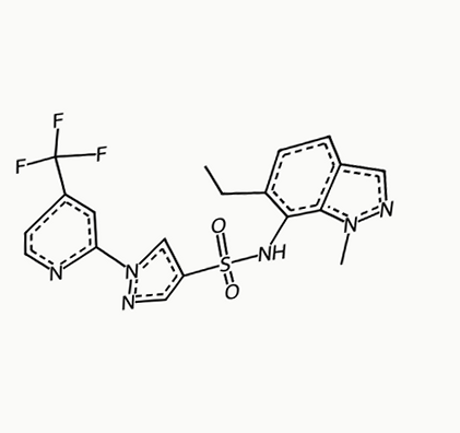 CCc1ccc2cnn(C)c2c1NS(=O)(=O)c1cnn(-c2cc(C(F)(F)F)ccn2)c1